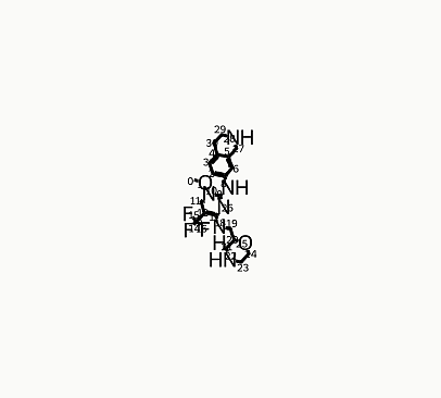 COc1cc2c(cc1Nc1ncc(C(F)(F)F)c(NCC3CNCCO3)n1)CNCC2